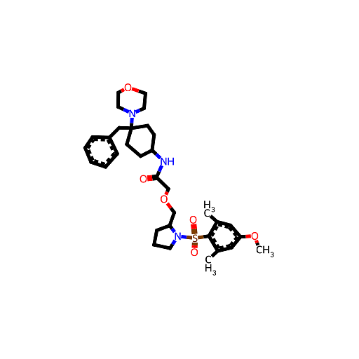 COc1cc(C)c(S(=O)(=O)N2CCCC2COCC(=O)NC2CCC(Cc3ccccc3)(N3CCOCC3)CC2)c(C)c1